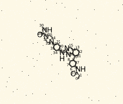 C=CC(=O)Nc1cccc(-c2cccc3cnc(Nc4ccc(N5CCN(C(=O)NC)CC5)cc4)nc23)c1